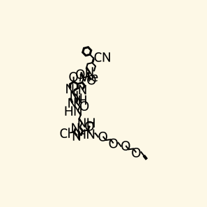 C#CCOCCOCCOCCOCCNC(=O)c1cnc(Cl)nc1NCCNC(=O)c1ncn(-c2ncc(OC)c3c(C(=O)C(=O)N4CCC(=C(C#N)c5ccccc5)CC4)c[nH]c23)n1